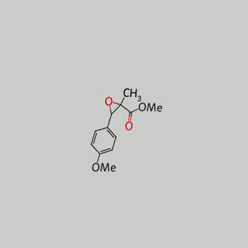 COC(=O)C1(C)OC1c1ccc(OC)cc1